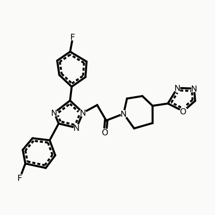 O=C(Cn1nc(-c2ccc(F)cc2)nc1-c1ccc(F)cc1)N1CCC(c2nnco2)CC1